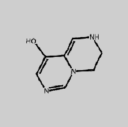 OC1=CN=CN2CCNC=C12